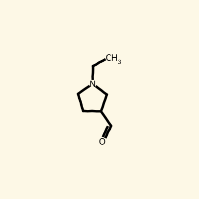 CCN1CCC(C=O)C1